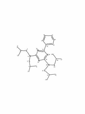 CC(C)SN(SC(C)C)c1nc(-c2ccccc2)nc(N(SC(C)C)SC(C)C)n1